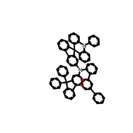 c1ccc(-c2cccc(-c3ccccc3N(c3ccc4c(c3)C(c3ccccc3)(c3ccccc3)c3ccccc3-4)c3ccc4c(c3)C3(c5ccccc5-4)c4ccccc4N(c4ccccc4)c4ccccc43)c2)cc1